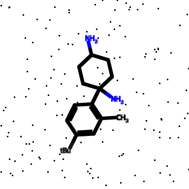 Cc1cc(C(C)(C)C)ccc1C1(N)CCC(N)CC1